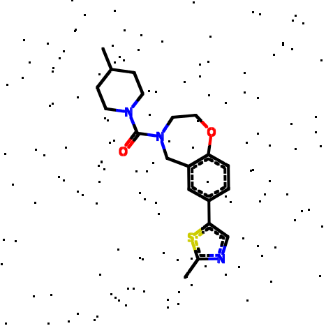 Cc1ncc(-c2ccc3c(c2)CN(C(=O)N2CCC(C)CC2)CCO3)s1